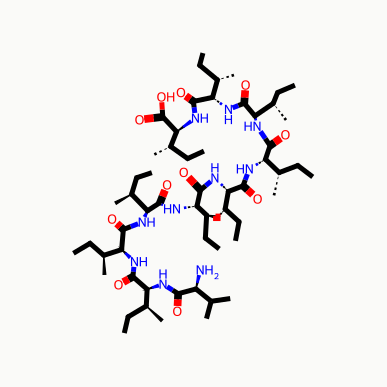 CC[C@H](C)[C@H](NC(=O)[C@@H](NC(=O)[C@@H](NC(=O)[C@@H](NC(=O)[C@@H](NC(=O)[C@@H](NC(=O)[C@@H](NC(=O)[C@@H](NC(=O)[C@@H](NC(=O)[C@@H](N)C(C)C)[C@@H](C)CC)[C@@H](C)CC)[C@@H](C)CC)[C@@H](C)CC)[C@@H](C)CC)[C@@H](C)CC)[C@@H](C)CC)[C@@H](C)CC)C(=O)O